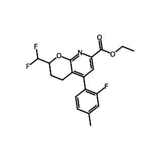 CCOC(=O)c1cc(-c2ccc(C)cc2F)c2c(n1)OC(C(F)F)CC2